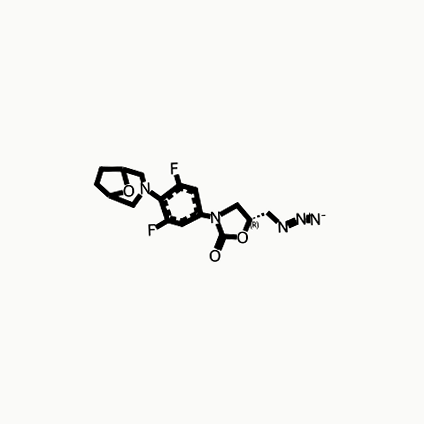 [N-]=[N+]=NC[C@H]1CN(c2cc(F)c(N3CC4CCC(C3)O4)c(F)c2)C(=O)O1